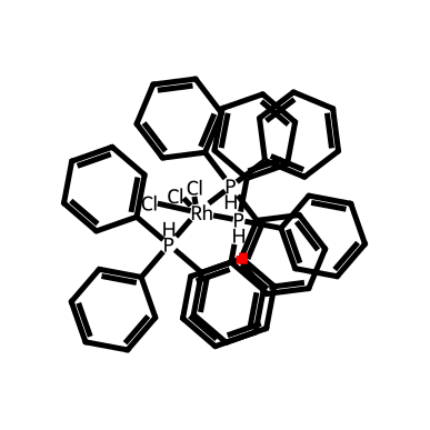 [Cl][Rh]([Cl])([Cl])([PH](c1ccccc1)(c1ccccc1)c1ccccc1)([PH](c1ccccc1)(c1ccccc1)c1ccccc1)[PH](c1ccccc1)(c1ccccc1)c1ccccc1